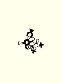 CC(C)(C)OC(=O)N(C(=O)OC(C)(C)C)C(=O)c1c(N2CCC3(CC2)CC3)cc(Br)c2c1OCC2